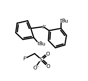 CC(C)(C)c1ccccc1[I+]c1ccccc1C(C)(C)C.O=S(=O)([O-])CF